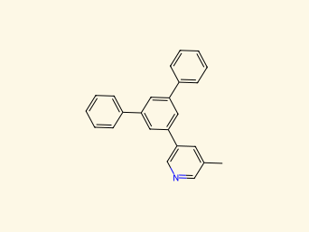 Cc1cncc(-c2cc(-c3ccccc3)cc(-c3ccccc3)c2)c1